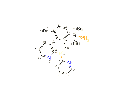 CCCCc1ccc(C(P)(C(C)(C)C)C(C)(C)C)c(CP(c2ccccn2)c2ccccn2)c1